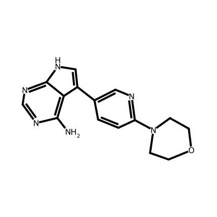 Nc1ncnc2[nH]cc(-c3ccc(N4CCOCC4)nc3)c12